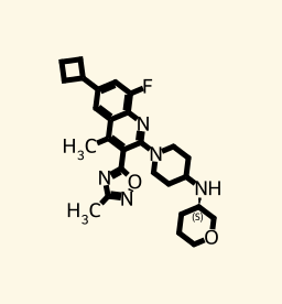 Cc1noc(-c2c(N3CCC(N[C@H]4CCCOC4)CC3)nc3c(F)cc(C4CCC4)cc3c2C)n1